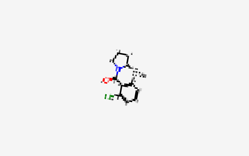 COc1cccc(Cl)c1C(=O)N1CCCC1